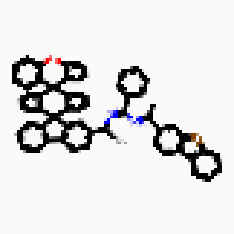 CCC(C)C(/N=C(\N=C(/C)c1ccc2c(c1)sc1ccccc12)c1ccccc1)c1ccc2c(c1)C1(c3ccccc3-2)c2ccccc2C2(c3ccccc3Oc3ccccc32)c2ccccc21